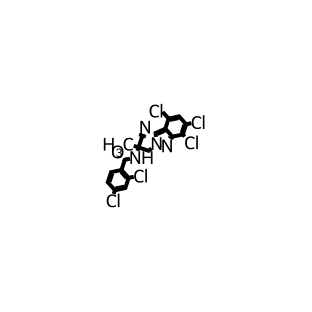 CC(C#N)(Cn1cc2c(Cl)cc(Cl)c(Cl)c2n1)NC(=O)c1ccc(Cl)cc1Cl